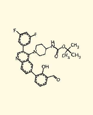 CC(C)(C)OC(=O)NC1CCN(c2c(-c3cc(F)cc(F)c3)cnc3ccc(-c4cccc(C=O)c4O)cc23)CC1